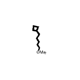 COCCCCC[C]1CCC1